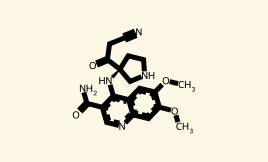 COc1cc2ncc(C(N)=O)c(N[C@@]3(C(=O)CC#N)CCNC3)c2cc1OC